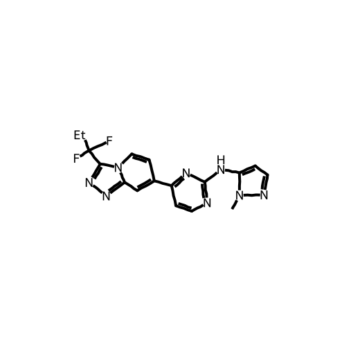 CCC(F)(F)c1nnc2cc(-c3ccnc(Nc4ccnn4C)n3)ccn12